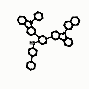 c1ccc(-c2ccc(Nc3ccc(-c4ccc5c(c4)c4ccccc4n5-c4ccc5ccccc5c4)cc3-c3ccc4c5ccccc5n(-c5ccccc5)c4c3)cc2)cc1